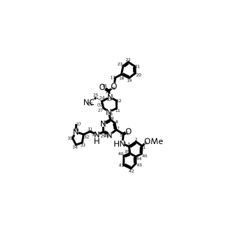 COc1cc(NC(=O)c2cc(N3CCN(C(=O)OCc4ccccc4)[C@@H](CC#N)C3)nc(NCC3CCCN3C)n2)c2ccccc2c1